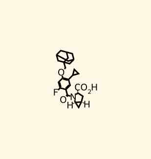 O=C(O)[C@@H]1C[C@H]2C[C@H]2N1C(=O)c1cc(C2CC2)c(OCC23CC4CC(CC(C4)C2)C3)cc1F